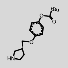 CC(C)(C)C(=O)Oc1ccc(OC[C@H]2CCNC2)cc1